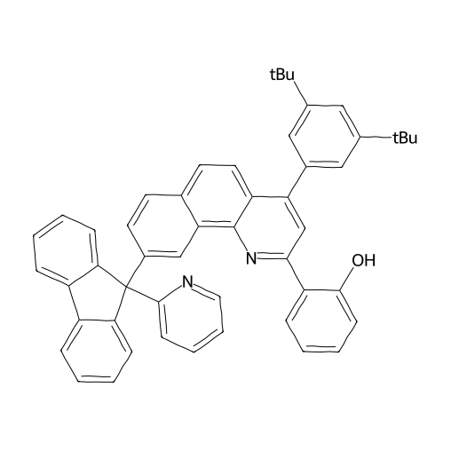 CC(C)(C)c1cc(-c2cc(-c3ccccc3O)nc3c2ccc2ccc(C4(c5ccccn5)c5ccccc5-c5ccccc54)cc23)cc(C(C)(C)C)c1